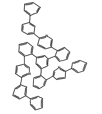 c1ccc(-c2cccc(-c3ccc(-c4ccccc4-c4cc(-c5ccccc5-c5ccc(-c6ccccc6)nc5)cc(-c5ccccc5-c5ccc(-c6cccc(-c7ccccc7)c6)nc5)c4)cn3)c2)cc1